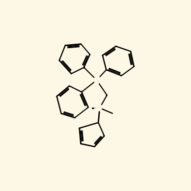 [CH3][Pt]([CH3])([CH2][Si](c1ccccc1)(c1ccccc1)c1ccccc1)[CH]1C=CC=C1